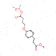 COC(C)OC(=O)CCCOc1ccc(/C=C/C(=O)OI)cc1